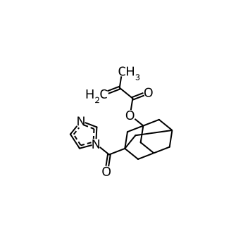 C=C(C)C(=O)OC12CC3CC(C1)CC(C(=O)n1ccnc1)(C3)C2